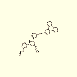 O=COc1ccnc(-c2cc(OC=O)cc(-c3cc(C#Cc4ccc5c6ccccc6c6ccccc6c5c4)ccn3)n2)c1